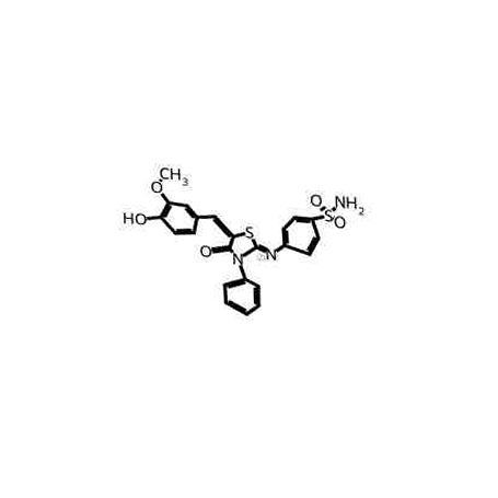 COc1cc(C=C2S/C(=N\c3ccc(S(N)(=O)=O)cc3)N(c3ccccc3)C2=O)ccc1O